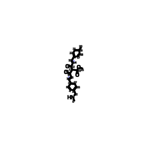 CNCc1ccc(/C=C/C(=O)C(C(=O)/C=C/c2ccc(C)cc2)C(=O)OC)cc1